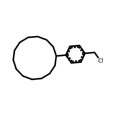 ClCc1ccc(C2CCCCCCCCCCCCC2)cc1